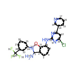 NC1c2cccc(Nc3nc(Cl)cc(-c4cccnc4)n3)c2ON1c1cccc(C(F)(F)F)c1